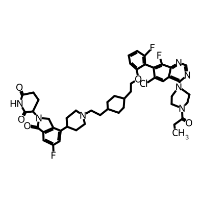 CCC(=O)N1CCN(c2ncnc3c(F)c(-c4c(F)cccc4OCCC4CCC(CCN5CCC(c6cc(F)cc7c6CN(C6CCC(=O)NC6=O)C7=O)CC5)CC4)c(Cl)cc23)CC1